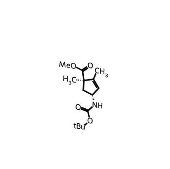 COC(=O)[C@]1(C)C[C@@H](NC(=O)OC(C)(C)C)C=C1C